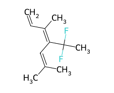 C=C/C(C)=C(\C=C(C)C)C(C)(F)F